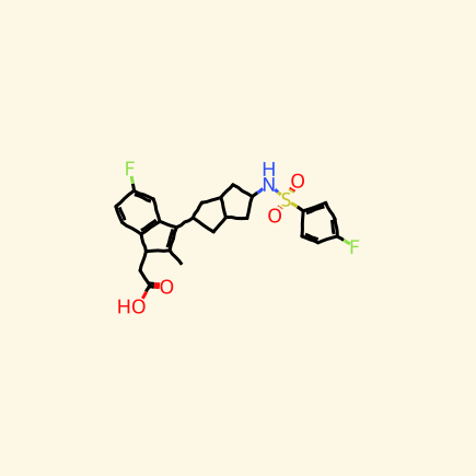 CC1=C(C2CC3CC(NS(=O)(=O)c4ccc(F)cc4)CC3C2)c2cc(F)ccc2C1CC(=O)O